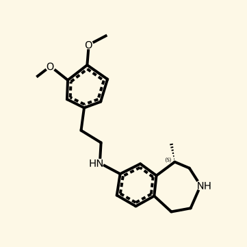 COc1ccc(CCNc2ccc3c(c2)[C@H](C)CNCC3)cc1OC